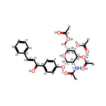 CC(=O)N[C@@H]1[C@H](Oc2ccc(C(=O)/C=C/c3ccccc3)cc2)O[C@H](COC(C)=O)[C@H](OC(C)=O)[C@H]1OC(C)=O